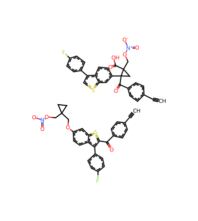 C#Cc1ccc(C(=O)C2(c3ccc4c(-c5ccc(F)cc5)csc4c3)CC2(CO[N+](=O)[O-])C(=O)O)cc1.C#Cc1ccc(C(=O)c2sc3cc(OCC4(CO[N+](=O)[O-])CC4)ccc3c2-c2ccc(F)cc2)cc1